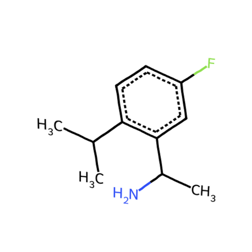 CC(C)c1ccc(F)cc1C(C)N